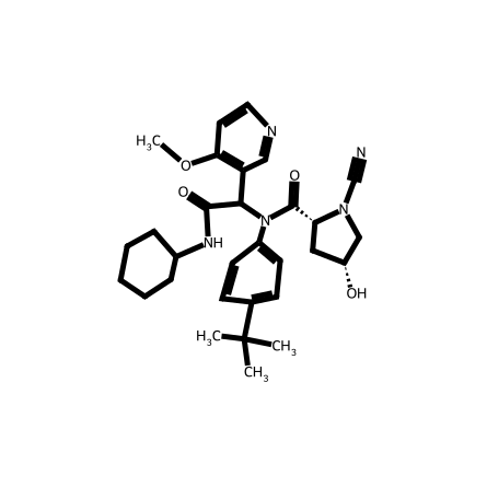 COc1ccncc1C(C(=O)NC1CCCCC1)N(C(=O)[C@H]1C[C@@H](O)CN1C#N)c1ccc(C(C)(C)C)cc1